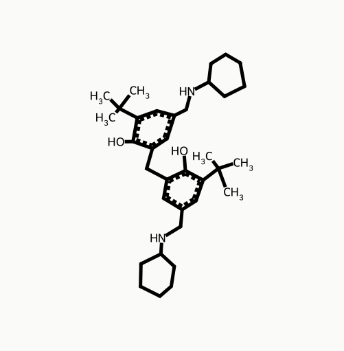 CC(C)(C)c1cc(CNC2CCCCC2)cc(Cc2cc(CNC3CCCCC3)cc(C(C)(C)C)c2O)c1O